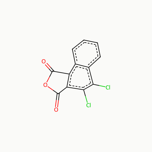 O=C1OC(=O)c2c1c(Cl)c(Cl)c1ccccc21